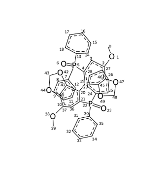 COc1cc(P(=O)(c2ccccc2)c2ccccc2)c(-c2c(P(=O)(c3ccccc3)c3ccccc3)cc(OC)c3c2OCO3)c2c1OCO2